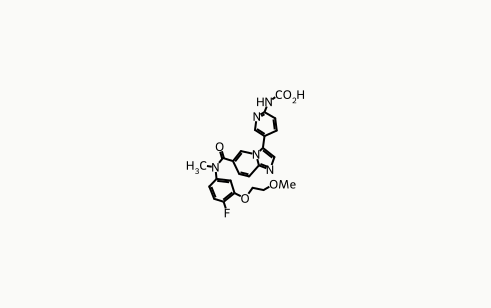 COCCOc1cc(N(C)C(=O)c2ccc3ncc(-c4ccc(NC(=O)O)nc4)n3c2)ccc1F